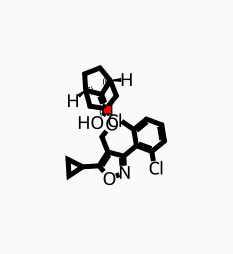 ON=C1[C@@H]2CC[C@H]1C[C@@H](OCc1c(-c3c(Cl)cccc3Cl)noc1C1CC1)C2